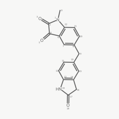 CN1C(=O)C(=O)c2cc(Cc3ccc4c(c3)CC(=O)N4)ccc21